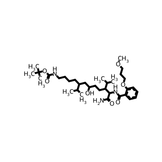 COCCCOc1ccccc1C(=O)NC(C(N)=O)C(CCC(O)CC(CCCCNC(=O)OC(C)(C)C)C(C)C)C(C)C